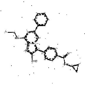 CC(C)CNc1nc(-c2ccccc2)cn2c(-c3ccc(C(=O)NC4CC4)cc3)c(C=O)nc12